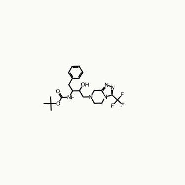 CC(C)(C)OC(=O)NC(Cc1ccccc1)C(O)CN1CCn2c(nnc2C(F)(F)F)C1